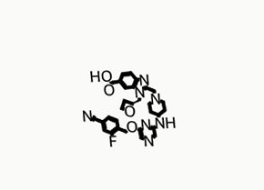 N#Cc1ccc(COc2cncc(NC3CCN(Cc4nc5ccc(C(=O)O)cc5n4C[C@@H]4CCO4)CC3)n2)c(F)c1